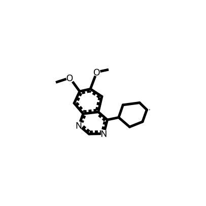 COc1cc2ncnc(C3CC[CH]CC3)c2cc1OC